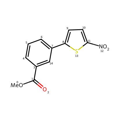 COC(=O)c1cccc(-c2ccc([N+](=O)[O-])s2)c1